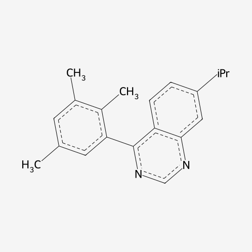 Cc1cc(C)c(C)c(-c2ncnc3cc(C(C)C)ccc23)c1